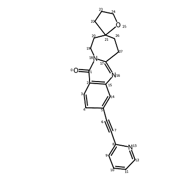 O=c1c2ccc(C#Cc3ccccn3)cc2nc2n1CCC1(CCCO1)CC2